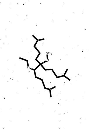 CCOC(CCCC(C)C)C(CCCC(C)C)(CCCC(C)C)O[SiH3]